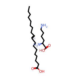 CCCCCCCC/C=C/CCCCCCCC(=O)O.NCCCCC(N)C(=O)O